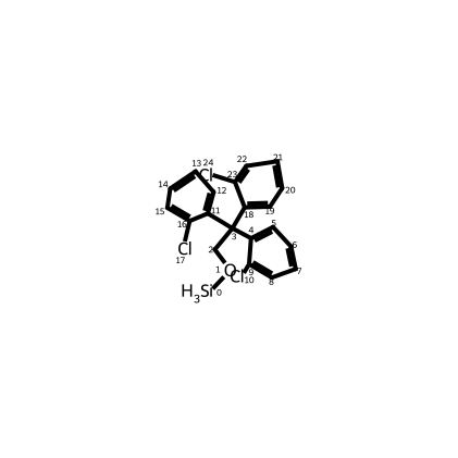 [SiH3]OCC(c1ccccc1Cl)(c1ccccc1Cl)c1ccccc1Cl